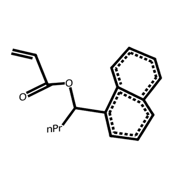 C=CC(=O)OC(CCC)c1cccc2ccccc12